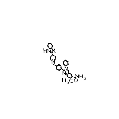 Cc1cc2c(cc1C(N)=O)=CN(c1ccccc1)C(c1ccc(CN3CCC(c4nc5ccccc5[nH]4)CC3)cc1)N=2